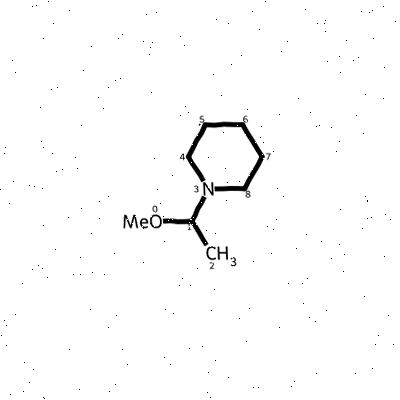 COC(C)N1C[CH]CCC1